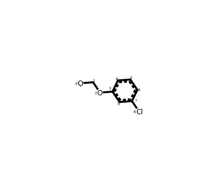 [O]COc1cccc(Cl)c1